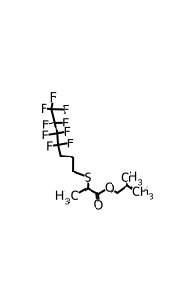 CC(C)COC(=O)C(C)SCCCC(F)(F)C(F)(F)C(F)(F)C(F)(F)F